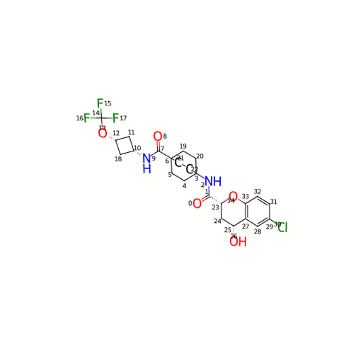 O=C(NC12CCC(C(=O)N[C@H]3C[C@@H](OC(F)(F)F)C3)(CC1)CC2)[C@H]1C[C@@H](O)c2cc(Cl)ccc2O1